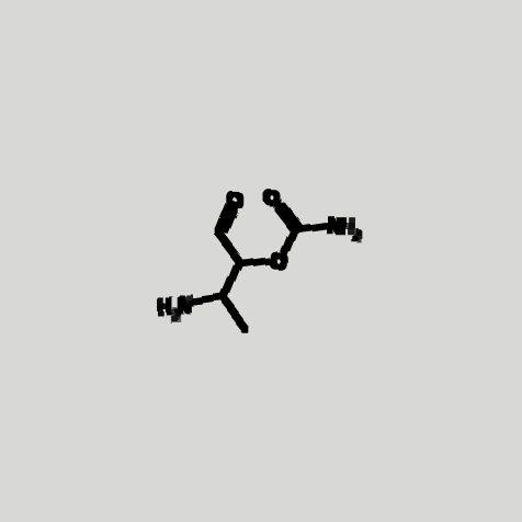 CC(N)C(C=O)OC(N)=O